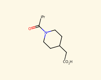 CC(C)C(=O)N1CCC(CC(=O)O)CC1